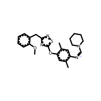 COc1ccccc1Cc1nsc(Oc2cc(C)c(/N=C\N3CCCCC3)cc2C)n1